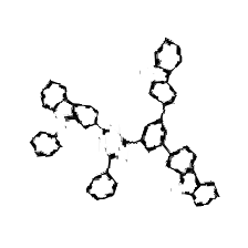 c1ccc(-c2nc(-c3cc(-c4ccc5c(c4)oc4ccccc45)cc(-c4ccc5c(c4)oc4ccccc45)c3)nc(-c3ccc4c5ccccc5n(-c5ccccc5)c4c3)n2)cc1